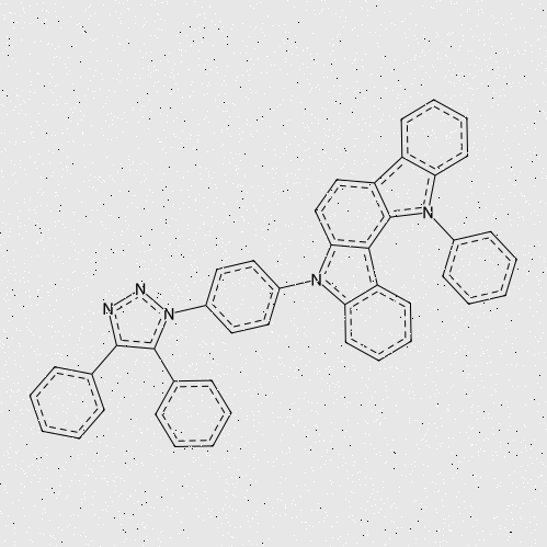 c1ccc(-c2nnn(-c3ccc(-n4c5ccccc5c5c4ccc4c6ccccc6n(-c6ccccc6)c45)cc3)c2-c2ccccc2)cc1